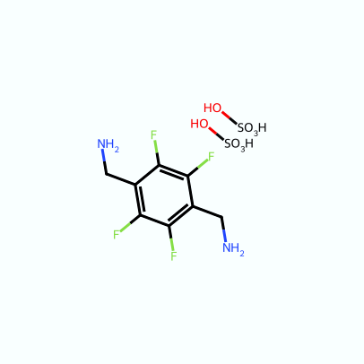 NCc1c(F)c(F)c(CN)c(F)c1F.O=S(=O)(O)O.O=S(=O)(O)O